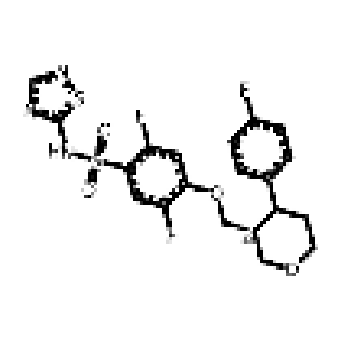 O=S(=O)(Nc1ncns1)c1cc(F)c(OC[C@@H]2COCCC2c2ccc(F)cc2)cc1F